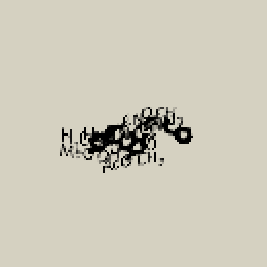 COc1c(C)cc2c(c1O)C1C3Cc4c(OC(C)=O)c(C)c5c(c4[C@H](CNC(=O)[C@H](C)NC(=O)Cc4ccccc4)N3[C@@H](C#N)C(C2)N1C)OCO5